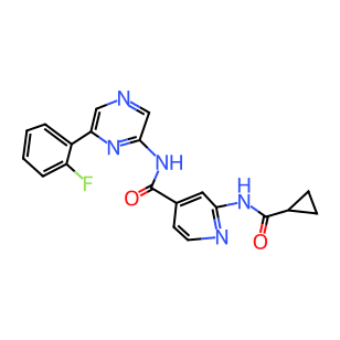 O=C(Nc1cncc(-c2ccccc2F)n1)c1ccnc(NC(=O)C2CC2)c1